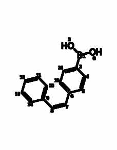 OB(O)c1ccc(/C=C\c2ccccc2)cc1